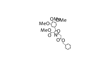 COC(=O)c1nc(CC(=O)OCc2ccccc2)oc1-c1cc(OC)c(OC)c(OC)c1